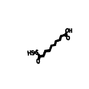 O=C(O)CCCCCCCCC(=O)SS